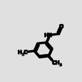 Cc1cc(C)cc(NC=O)c1